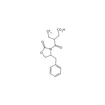 O=C(O)CC(CC(F)(F)F)C(=O)N1C(=O)OCC1Cc1ccccc1